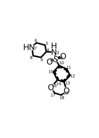 O=S(=O)(NC1CCNCC1)c1ccc2c(c1)OCCO2